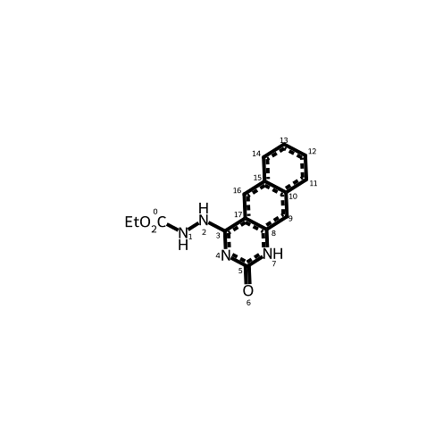 CCOC(=O)NNc1nc(=O)[nH]c2cc3ccccc3cc12